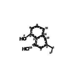 CCc1cnc2c(O)cccc2c1.Cl